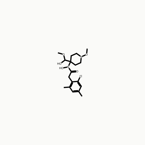 COC(O)C1(N(O)C(=O)Cc2c(C)cc(C)cc2Cl)CCN(OC)CC1